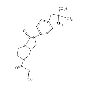 CC(C)(C)OC(=O)N1CCN2C(=O)N(c3ccc(CC(C)(C)C(=O)O)cc3)CC2C1